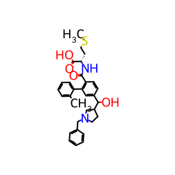 CSCC[C@H](NC(=O)c1ccc(C(O)C2CCN(Cc3ccccc3)C2)cc1-c1ccccc1C)C(=O)O